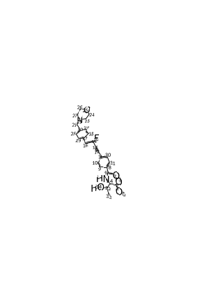 COC(=O)[C@@H](NC(=O)c1ccc(C#C/C(F)=C/c2ccc(CN3CCOCC3)cc2)cc1)[C@@H](C)O